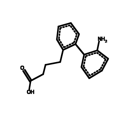 Nc1ccccc1-c1ccccc1CCCC(=O)O